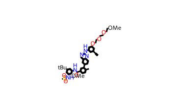 C#Cc1cc(Nc2ncc3cc(-c4cc(C(=O)Nc5cc(C(C)(C)C)cc(NS(C)(=O)=O)c5OC)ccc4C)ccc3n2)cc(OCCOCCOCCOC)c1